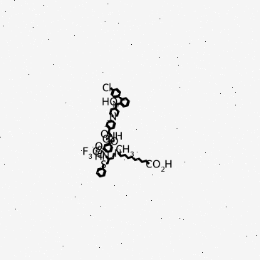 CN(CCCCCCCCC(=O)O)CCC(CSc1ccccc1)Nc1ccc(S(=O)(=O)NC(=O)c2ccc(N3CCC([C@@H](O)c4ccccc4-c4ccc(Cl)cc4)CC3)cc2)cc1S(=O)(=O)C(F)(F)F